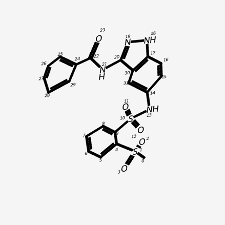 CS(=O)(=O)c1ccccc1S(=O)(=O)Nc1ccc2[nH]nc(NC(=O)c3ccccc3)c2c1